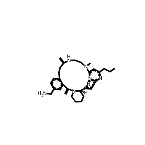 C=C1CCc2ccc(CN)cc2C(=C)N2CCCC[C@H]2c2cc3nc(CCC)cc(n3n2)N(C)CCN1